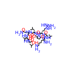 CC(C)C[C@H](NC(=O)[C@@H](NC(=O)[C@H](CCC(N)=O)NC(=O)[C@H](CC(C)C)NC(=O)[C@@H]1CCCN1C(=O)[C@H](CCCNC(=N)N)NC(=O)[C@H](CC(C)C)NC(=O)[C@@H](N)CCCCN)C(C)C)C(=O)O